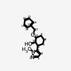 Cn1nccc1C1CCCC(OCc2ccccc2)C1O